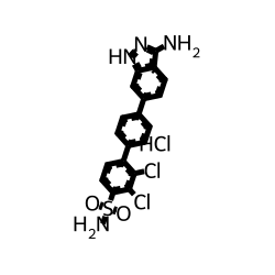 Cl.Nc1n[nH]c2cc(-c3ccc(-c4ccc(S(N)(=O)=O)c(Cl)c4Cl)cc3)ccc12